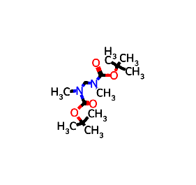 CN(CN(C)C(=O)OC(C)(C)C)C(=O)OC(C)(C)C